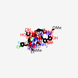 CC[C@@H](NC)C(=O)N[C@H]1C(=O)N[C@@H](CC(N)=O)C(=O)N[C@H]2C(=O)N[C@H]3C(=O)N[C@H](C(=O)N[C@@H](C(=O)NOCCOC)c4cc(O)cc(O)c4-c4cc3ccc4O)[C@H](O)c3ccc(c(Cl)c3)Oc3cc2cc(c3O[C@@H]2O[C@H](CO)[C@@H](O)[C@H](O)[C@H]2O[C@H]2C[C@](C)(NCCn3ccc(NC(=O)Cc4ccc(F)c(Cl)c4)nc3=O)[C@H](O)[C@H](C)O2)Oc2ccc(cc2Cl)[C@H]1O